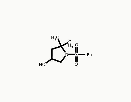 CC1(C)CC(O)CN1S(=O)(=O)C(C)(C)C